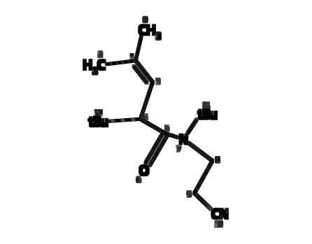 CC(C)=CC(C(=O)N(CCC#N)C(C)(C)C)C(C)(C)C